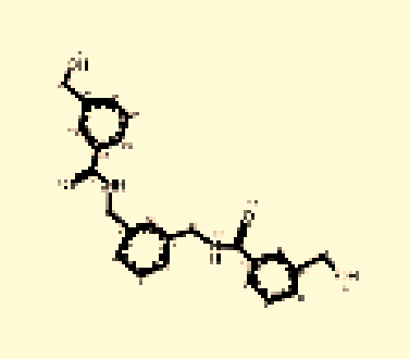 O=C(NCc1cccc(CNC(=O)c2cccc(CO)c2)c1)c1cccc(CO)c1